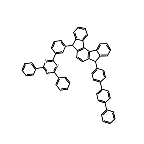 c1ccc(-c2ccc(-c3ccc(C4c5ccccc5-c5c4ccc4c5-c5ccccc5C4c4cccc(-c5nc(-c6ccccc6)nc(-c6ccccc6)n5)c4)cc3)cc2)cc1